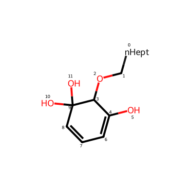 CCCCCCCCOC1C(O)=CC=CC1(O)O